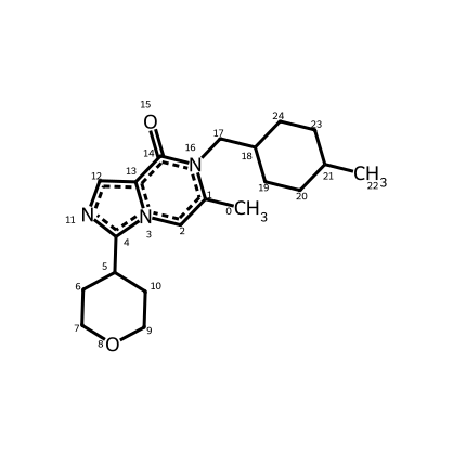 Cc1cn2c(C3CCOCC3)ncc2c(=O)n1CC1CCC(C)CC1